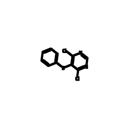 Clc1ncnc(Cl)c1Sc1ccccc1